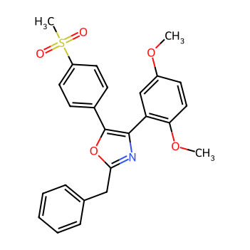 COc1ccc(OC)c(-c2nc(Cc3ccccc3)oc2-c2ccc(S(C)(=O)=O)cc2)c1